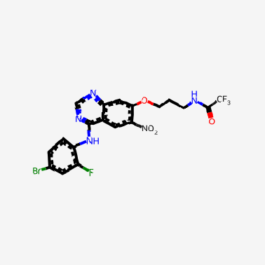 O=C(NCCCOc1cc2ncnc(Nc3ccc(Br)cc3F)c2cc1[N+](=O)[O-])C(F)(F)F